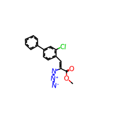 COC(=O)C(=Cc1ccc(-c2ccccc2)cc1Cl)N=[N+]=[N-]